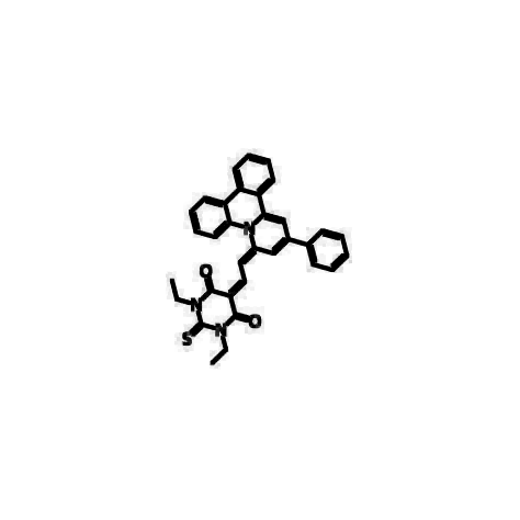 CCN1C(=O)C(=C/C=C2\C=C(c3ccccc3)C=C3c4ccccc4-c4ccccc4N32)C(=O)N(CC)C1=S